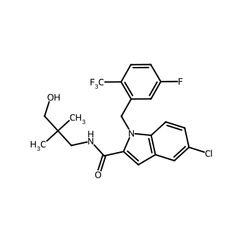 CC(C)(CO)CNC(=O)c1cc2cc(Cl)ccc2n1Cc1cc(F)ccc1C(F)(F)F